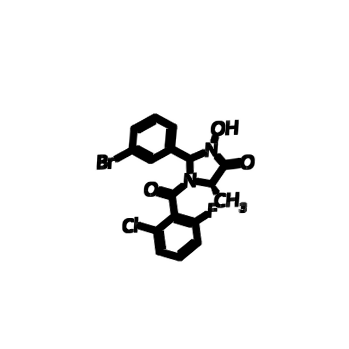 C[C@@H]1C(=O)N(O)C(c2cccc(Br)c2)N1C(=O)c1c(F)cccc1Cl